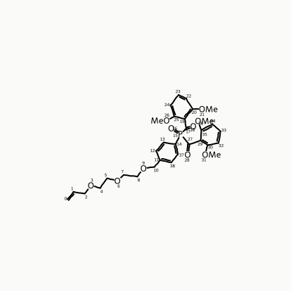 C=CCOCCOCCOCc1ccc(P(=O)(C(=O)c2c(OC)cccc2OC)C(=O)c2c(OC)cccc2OC)cc1